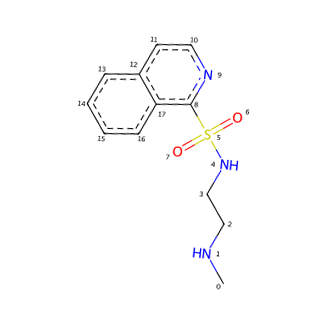 CNCCNS(=O)(=O)c1nccc2ccccc12